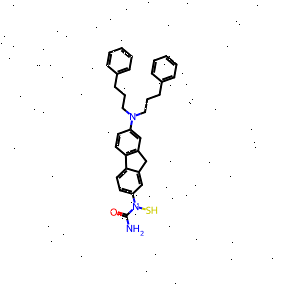 NC(=O)N(S)c1ccc2c(c1)Cc1cc(N(CCCc3ccccc3)CCCc3ccccc3)ccc1-2